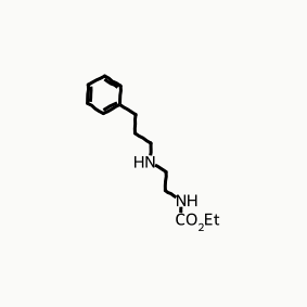 CCOC(=O)NCCNCCCc1ccccc1